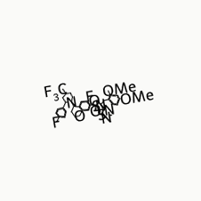 COc1ccc(CN(c2ncns2)S(=O)(=O)c2cc3c(cc2F)C(N2CCC(C(F)(F)F)CC2c2ccc(F)cc2)CCO3)c(OC)c1